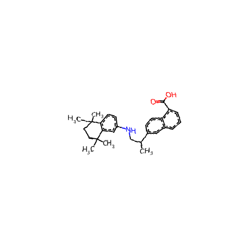 CC(CNc1ccc2c(c1)C(C)(C)CCC2(C)C)c1ccc2c(C(=O)O)cccc2c1